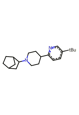 CC(C)(C)c1ccc(C2CCN(C3CC4CCC3C4)CC2)nc1